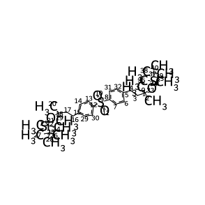 CC(C)(CCc1ccc(S(=O)(=O)c2ccc(CCC(C)(C)O[Si](C)(C)C(C)(C)C)cc2)cc1)O[Si](C)(C)C(C)(C)C